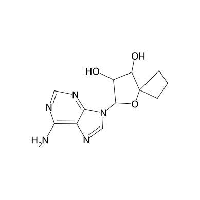 Nc1ncnc2c1ncn2C1OC2(CCC2)C(O)C1O